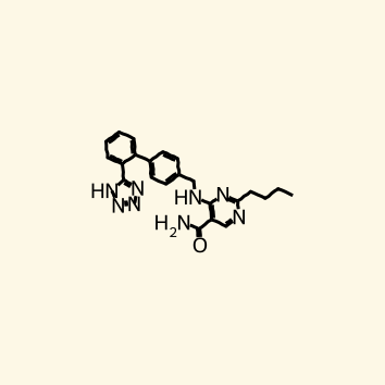 CCCCc1ncc(C(N)=O)c(NCc2ccc(-c3ccccc3-c3nnn[nH]3)cc2)n1